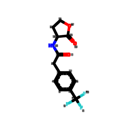 O=C(Cc1ccc(C(F)(F)F)cc1)NC1CCOC1=O